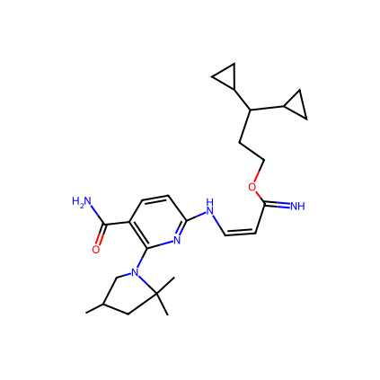 CC1CN(c2nc(N/C=C\C(=N)OCCC(C3CC3)C3CC3)ccc2C(N)=O)C(C)(C)C1